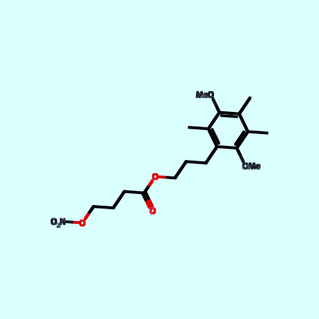 COc1c(C)c(C)c(OC)c(CCCOC(=O)CCCO[N+](=O)[O-])c1C